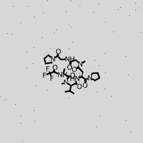 CC(NC(=O)C(F)(F)F)C(=O)N(C)C(C(=O)N[C@@H](CC(=O)N(C)CC(=O)NCC(=O)N1CCCC1)C(=O)N1CCCC1)C(C)C